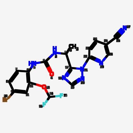 CC(NC(=O)Nc1ccc(Br)cc1OC(F)F)c1ncnn1-c1ccc(C#N)cn1